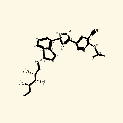 CC[C@@H](O)[C@@H](O)[C@H](O)CN[C@H]1CCc2c(-c3noc(-c4ccc(OC(C)C)c(C#N)c4)n3)cccc21